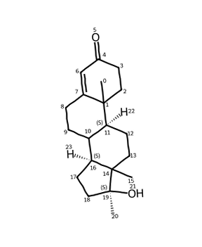 CC12CCC(=O)C=C1CCC1[C@@H]2CCC2(C)[C@H]1CC[C@]2(C)O